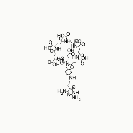 Nc1nc(N)c(CCCNc2ccc(CN(C(=O)CC[C@H](NC(=O)CC[C@H](NC(=O)CC[C@H](NC(=O)CC[C@H](NC(=O)CC[C@H](N)C(=O)O)C(=O)O)C(=O)O)C(=O)O)C(=O)O)[C@@H](CCC(=O)O)C(=O)O)cc2)c(=O)[nH]1